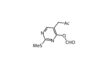 CSc1ncc(CC(C)=O)c(OC=O)n1